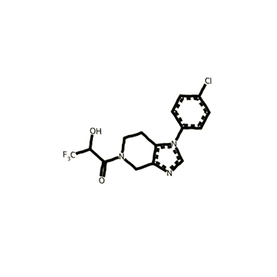 O=C(C(O)C(F)(F)F)N1CCc2c(ncn2-c2ccc(Cl)cc2)C1